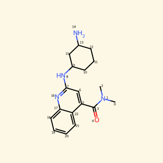 CN(C)C(=O)c1cc(NC2CCCC(N)C2)nc2ccccc12